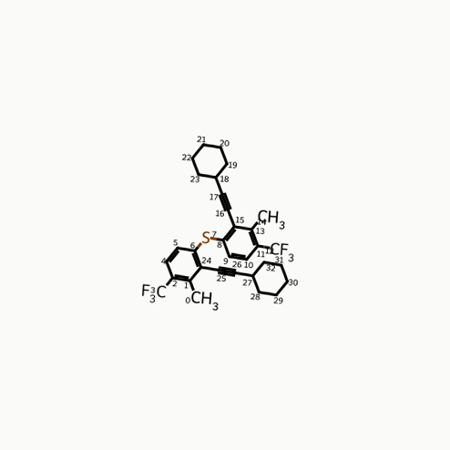 Cc1c(C(F)(F)F)ccc(Sc2ccc(C(F)(F)F)c(C)c2C#CC2CCCCC2)c1C#CC1CCCCC1